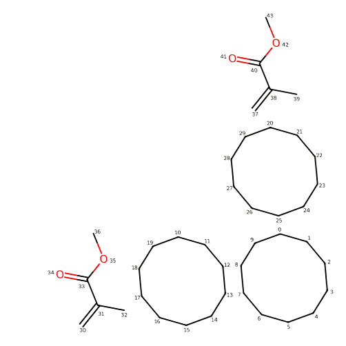 C1CCCCCCCCC1.C1CCCCCCCCC1.C1CCCCCCCCC1.C=C(C)C(=O)OC.C=C(C)C(=O)OC